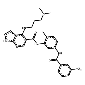 Cc1ccc(NC(=O)c2cccc(C(F)(F)F)c2)cc1NC(=O)c1cnc2[nH]ccc2c1NCCCN(C)C